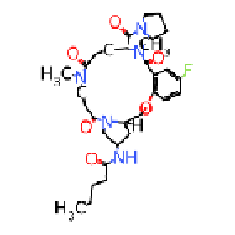 CCCCC(=O)N[C@@H]1C[C@H]2COc3ccc(F)cc3C(=O)N(C)[C@H](C(=O)N3CCCC3)CCC(=O)N(C)CCC(=O)N2C1